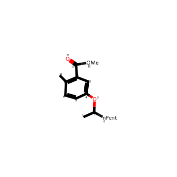 CCCCCC(C)Oc1ccc(C)c(C(=O)OC)c1